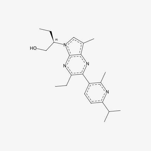 CCc1nc2c(nc1-c1ccc(C(C)C)nc1C)c(C)cn2[C@H](CC)CO